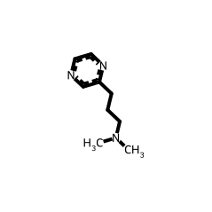 CN(C)CCCc1cnccn1